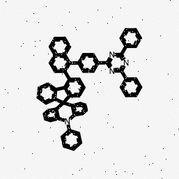 c1ccc(-c2nc(-c3ccccc3)nc(-c3ccc(-c4c(-c5cccc6c5-c5ccccc5C65c6ccccc6N(c6ccccc6)c6ccccc65)ccc5ccccc45)cc3)n2)cc1